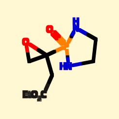 CCOC(=O)CC1(P2(=O)NCCN2)CO1